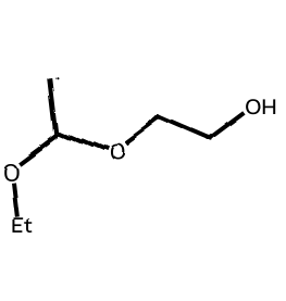 [CH2]C(OCC)OCCO